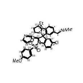 CCOc1ccc(CNC)cc1C1(N2CCC[C@H]2c2ncco2)C(=O)N(S(=O)(=O)c2ccc(OC)cc2)c2ccc(Cl)cc21